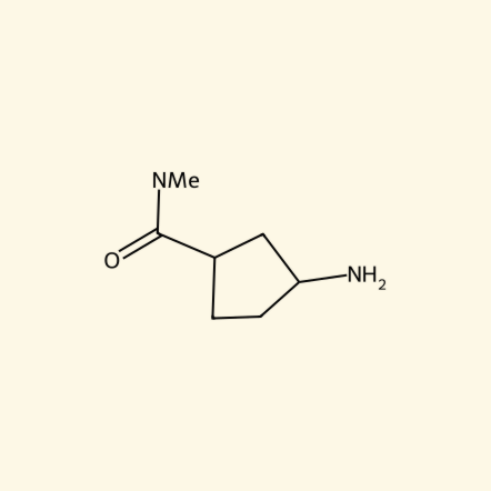 CNC(=O)C1CCC(N)C1